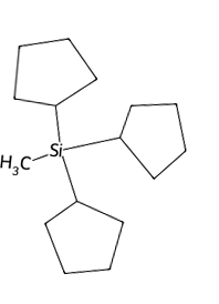 C[Si](C1CCCC1)(C1CCCC1)C1CCCC1